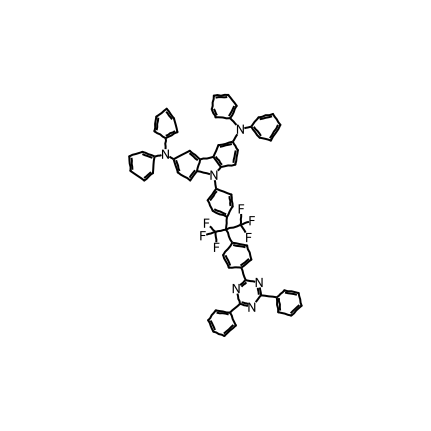 FC(F)(F)C(c1ccc(-c2nc(-c3ccccc3)nc(-c3ccccc3)n2)cc1)(c1ccc(-n2c3ccc(N(c4ccccc4)c4ccccc4)cc3c3cc(N(c4ccccc4)c4ccccc4)ccc32)cc1)C(F)(F)F